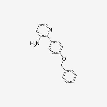 Nc1cccnc1-c1ccc(OCc2ccccc2)cc1